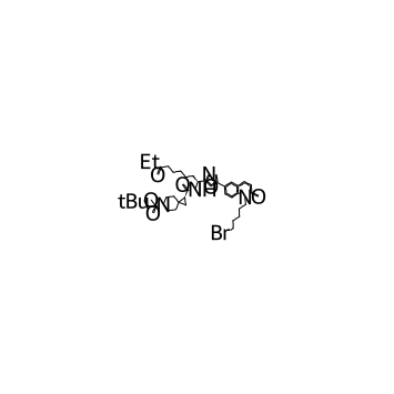 CCC(=O)CCCCC[C@H](NC(=O)[C@H]1CC12CCN(C(=O)OC(C)(C)C)CC2)c1ncc(-c2ccc3c(ccc(=O)n3CCCCCBr)c2)o1